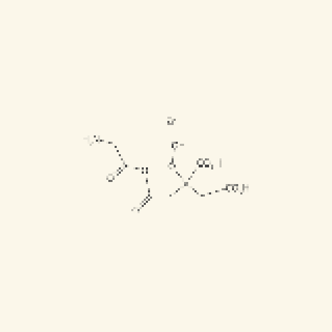 NCC(=O)OC(=O)CC(CC(=O)O)(OO)C(=O)O.[Zn]